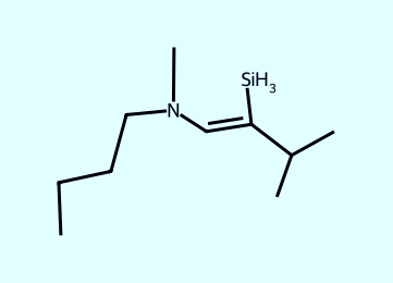 CCCCN(C)C=C([SiH3])C(C)C